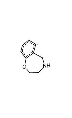 [c]1cccc2c1CNCCO2